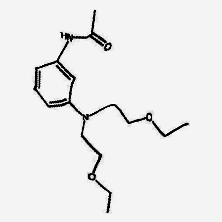 CCOCCN(CCOCC)c1cccc(NC(C)=O)c1